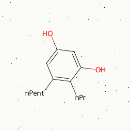 CCCCCc1cc(O)cc(O)c1CCC